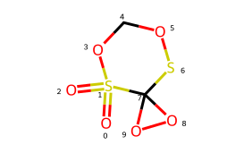 O=S1(=O)OCOSC12OO2